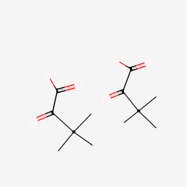 CC(C)(C)C(=O)C(=O)[O-].CC(C)(C)C(=O)C(=O)[O-].[Ca+2]